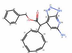 Nc1cc(C(C(=O)OCc2ccccc2)c2ccccccccc2)c2nn[nH]c2n1